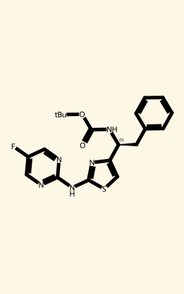 CC(C)(C)OC(=O)N[C@@H](Cc1ccccc1)c1csc(Nc2ncc(F)cn2)n1